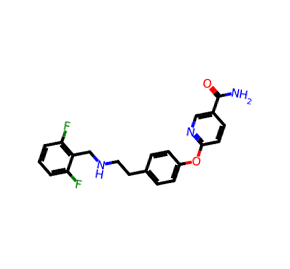 NC(=O)c1ccc(Oc2ccc(CCNCc3c(F)cccc3F)cc2)nc1